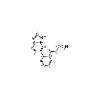 Cn1ncc2ccc(-c3cnccc3C=CC(=O)O)cc21